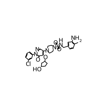 Cc1ccc(CNS(=O)(=O)N2CCN(c3cnn(-c4cccc(Cl)c4)c(=O)c3OC3CCC(O)C3)CC2)cc1N